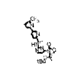 C[C@H](Nc1nccc(N2C(=O)OC[C@@H]2[C@@H](C)OC(C)(C)C)n1)c1ccc(-c2cccc(C(F)(F)F)n2)cn1